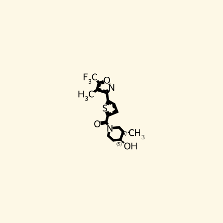 Cc1c(-c2ccc(C(=O)N3CC[C@H](O)[C@@H](C)C3)s2)noc1C(F)(F)F